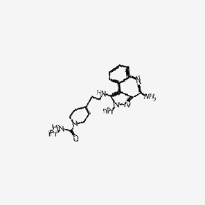 CCCn1nc2c(N)nc3ccccc3c2c1NCCC1CCN(C(=O)NC(C)C)CC1